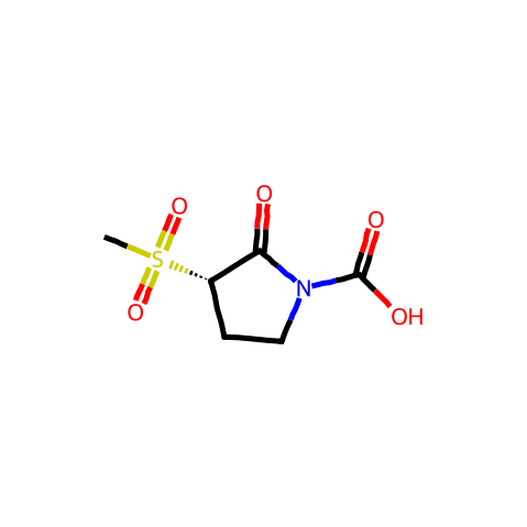 CS(=O)(=O)[C@H]1CCN(C(=O)O)C1=O